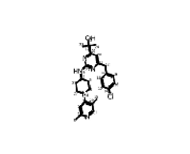 Cc1cc(N2CCC(Nc3nc(Cc4ccc(Cl)cc4)cc(C(C)(C)O)n3)CC2)c(C)cn1